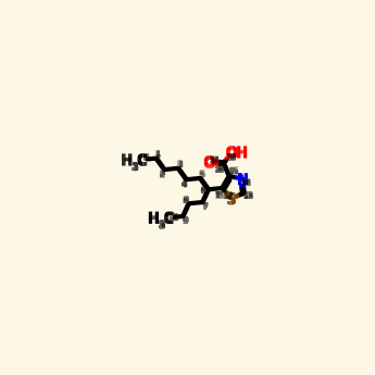 CCCCCCC(CCCC)c1scnc1C(=O)O